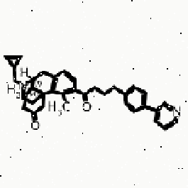 Cc1c(C(=O)CCCc2ccc(-c3cccnc3)cc2)ccc2c1C13CCN(CC4CC4)[C@H](C2)[C@]1(C)CCC(=O)C3